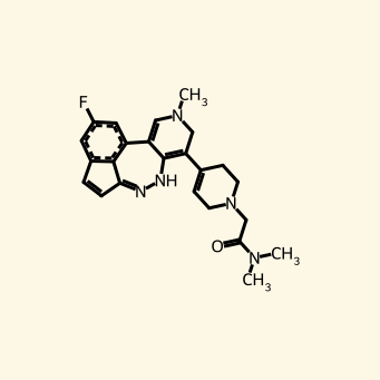 CN1C=C2C(=C(C3=CCN(CC(=O)N(C)C)CC3)C1)NN=C1C=Cc3cc(F)cc2c31